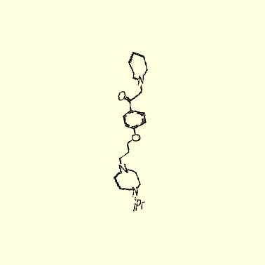 CC(C)N1CCN(CCCOc2ccc(C(=O)CN3CCCCC3)cc2)CC1